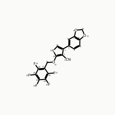 N#Cc1c(-c2ccc3c(c2)OCO3)csc1OCc1c(F)c(F)c(F)c(F)c1F